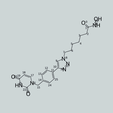 O=C(CCCCCCn1cc(-c2ccc(Cn3ccc(=O)[nH]c3=O)cc2)nn1)NO